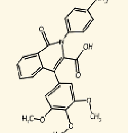 COc1cc(-c2c(C(=O)O)n(-c3ccc(N)cc3)c(=O)c3ccccc23)cc(OC)c1OC